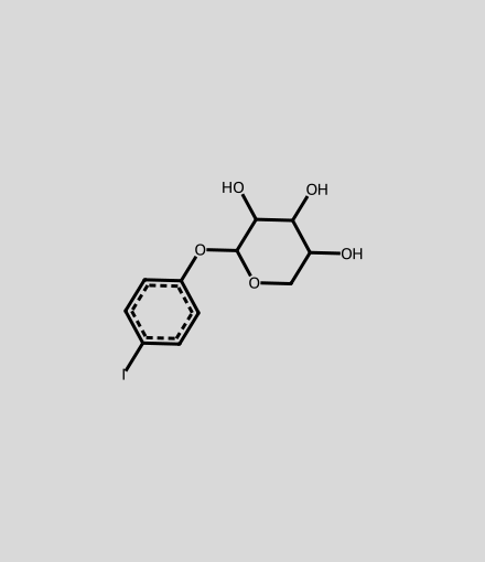 OC1COC(Oc2ccc(I)cc2)C(O)C1O